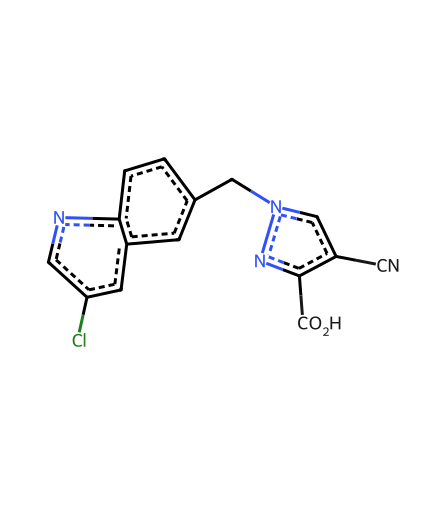 N#Cc1cn(Cc2ccc3ncc(Cl)cc3c2)nc1C(=O)O